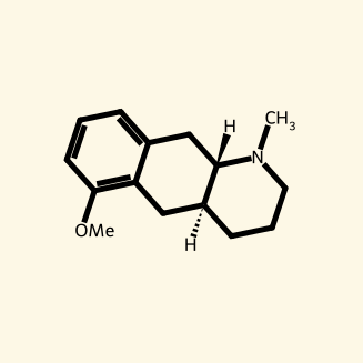 COc1cccc2c1C[C@@H]1CCCN(C)[C@H]1C2